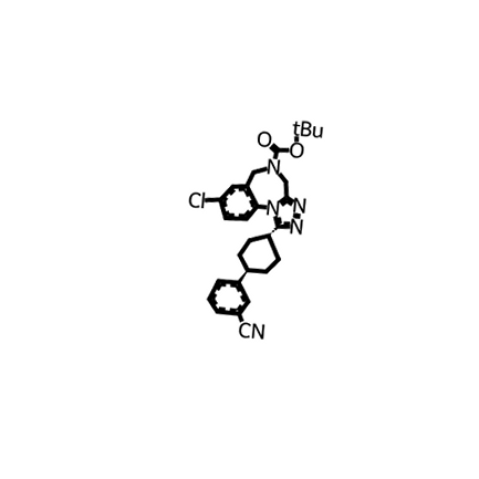 CC(C)(C)OC(=O)N1Cc2cc(Cl)ccc2-n2c(nnc2[C@H]2CC[C@H](c3cccc(C#N)c3)CC2)C1